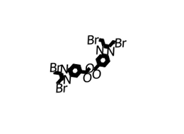 O=C(OC(=O)c1ccc2nc(CBr)c(CBr)nc2c1)c1ccc2nc(CBr)c(CBr)nc2c1